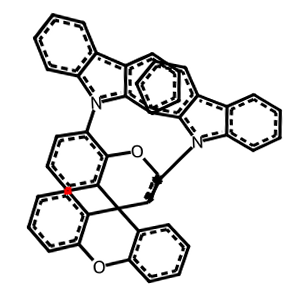 c1ccc2c(c1)Oc1ccccc1C21c2cccc(-n3c4ccccc4c4ccccc43)c2Oc2c(-n3c4ccccc4c4ccccc43)cccc21